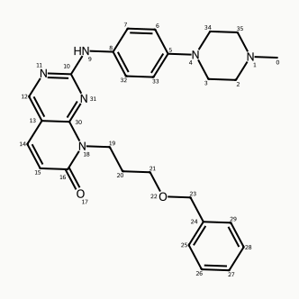 CN1CCN(c2ccc(Nc3ncc4ccc(=O)n(CCCOCc5ccccc5)c4n3)cc2)CC1